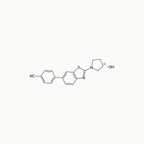 N#Cc1ccc(-c2ccc3nc(N4CC[C@H](O)C4)sc3c2)cc1